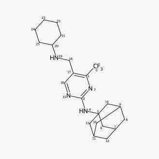 FC(F)(F)c1nc(NC23CC4CC(CC(C4)C2)C3)ncc1CNC1CCCCC1